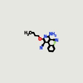 C=CCCOc1nc(N)c(C#N)c(-c2ccccc2F)c1C#N